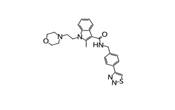 Cc1c(C(=O)NCc2ccc(-c3csnn3)cc2)c2ccccc2n1CCN1CCOCC1